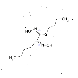 CCCCSC(=N/O)/C(=N\O)SCCCC